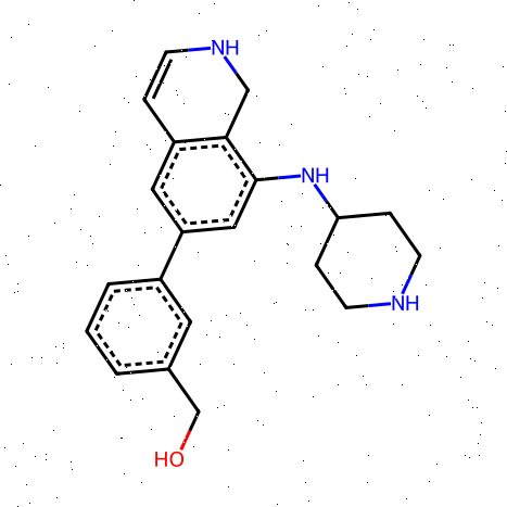 OCc1cccc(-c2cc3c(c(NC4CCNCC4)c2)CNC=C3)c1